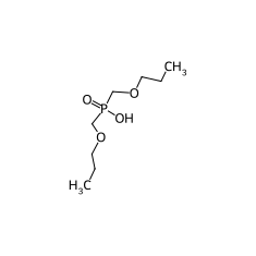 CCCOCP(=O)(O)COCCC